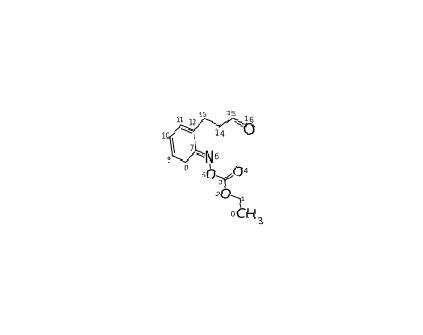 CCOC(=O)ON=C1CC=CC=C1CCC=O